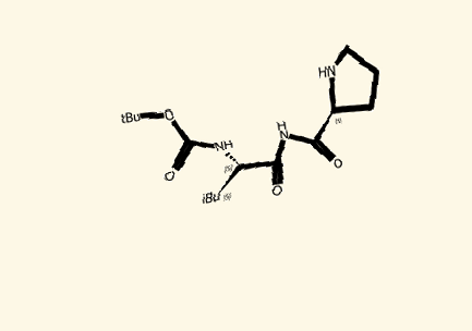 CC[C@H](C)[C@H](NC(=O)OC(C)(C)C)C(=O)NC(=O)[C@@H]1CCCN1